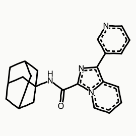 O=C(NC12CC3CC(CC(C3)C1)C2)c1nc(-c2cccnc2)c2ccccn12